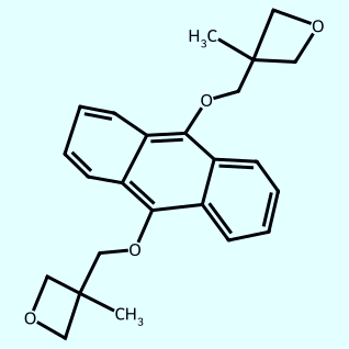 CC1(COc2c3ccccc3c(OCC3(C)COC3)c3ccccc23)COC1